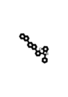 c1ccc(C2=Nc3cccc4c3C2c2cccc(-c3ccc5cc(-c6ccc7ccccc7c6)ccc5c3)c2O4)cc1